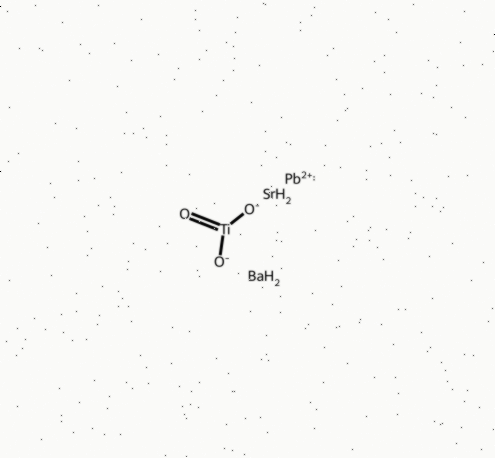 [BaH2].[O]=[Ti]([O-])[O-].[Pb+2].[SrH2]